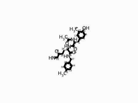 CC(=O)N[C@@H](Cc1ccc(O)c(C)c1)C(=O)N[C@@H](CCC(=O)C=N)C(=O)NCc1ccc(C)cc1